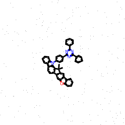 CC1(C)c2cc3c(cc2-c2ccc4c5ccccc5n(-c5ccc(-c6nc(-c7ccccc7)nc(-c7ccccc7)n6)cc5)c4c21)oc1ccccc13